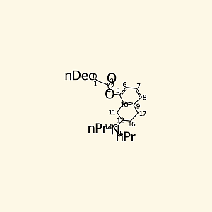 CCCCCCCCCCCC(=O)Oc1cccc2c1CC(N(CCC)CCC)CC2